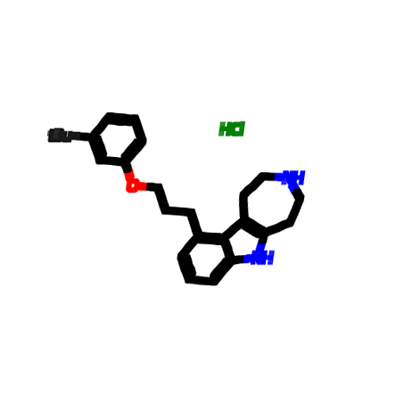 CC(C)(C)c1cccc(OCCCc2cccc3[nH]c4c(c23)CCNCC4)c1.Cl